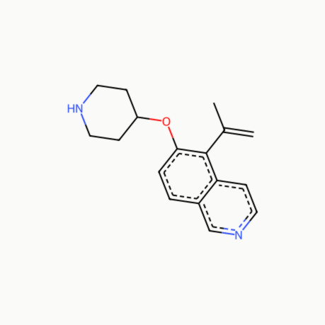 C=C(C)c1c(OC2CCNCC2)ccc2cnccc12